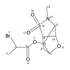 CC(Br)C(=O)OC1C2CC3C(O2)C1N(C)S3(=O)=O